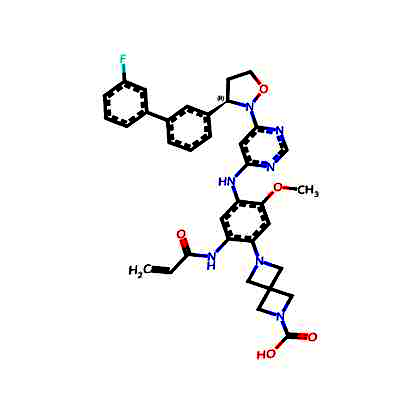 C=CC(=O)Nc1cc(Nc2cc(N3OCC[C@@H]3c3cccc(-c4cccc(F)c4)c3)ncn2)c(OC)cc1N1CC2(CN(C(=O)O)C2)C1